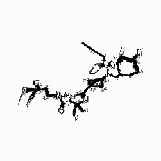 CCCS(=O)(=O)N(Cc1ccc(Cl)cc1)C12CC(C3=NC(C)(C)[C@H](C(=O)NCCC(F)(F)F)N3)(C1)C2